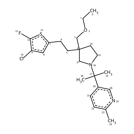 CCOCC1(CCc2cc(Cl)c(F)s2)CCN(C(C)(C)c2ccc(C)nc2)C1